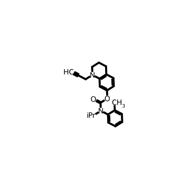 C#CCN1CCCc2ccc(OC(=O)N(c3ccccc3C)C(C)C)cc21